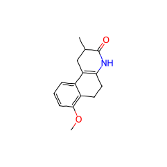 COc1cccc2c1CCC1=C2CC(C)C(=O)N1